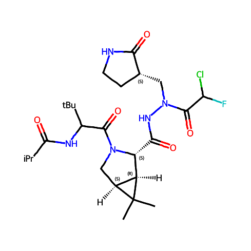 CC(C)C(=O)NC(C(=O)N1C[C@H]2[C@@H]([C@H]1C(=O)NN(C[C@@H]1CCNC1=O)C(=O)C(F)Cl)C2(C)C)C(C)(C)C